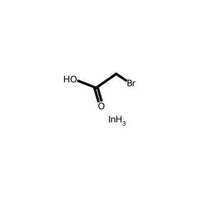 O=C(O)CBr.[InH3]